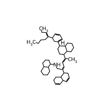 CC/C=C(\CCCC)C1C=CC=C(C2CCC(/C(C)=C/C=C(\CNC3CCCC4CCCCC43)C3CC=CC4C=CCCC43)C3CCCC[C@H]23)C1